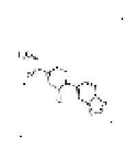 C=CC(=O)N1CCN(c2ccn3ncnc3c2)C(=O)C1